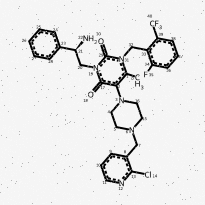 Cc1c(N2CCN(Cc3cccnc3Cl)CC2)c(=O)n(C[C@H](N)c2ccccc2)c(=O)n1Cc1c(F)cccc1C(F)(F)F